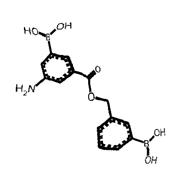 Nc1cc(B(O)O)cc(C(=O)OCc2cccc(B(O)O)c2)c1